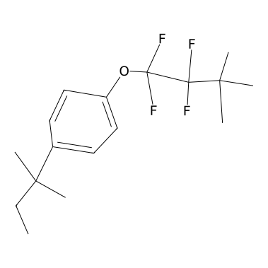 CCC(C)(C)c1ccc(OC(F)(F)C(F)(F)C(C)(C)C)cc1